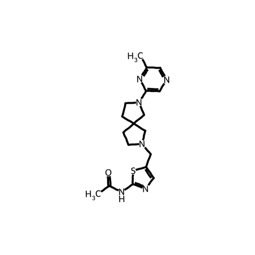 CC(=O)Nc1ncc(CN2CCC3(CCN(c4cncc(C)n4)C3)C2)s1